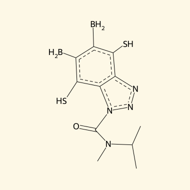 Bc1c(B)c(S)c2c(nnn2C(=O)N(C)C(C)C)c1S